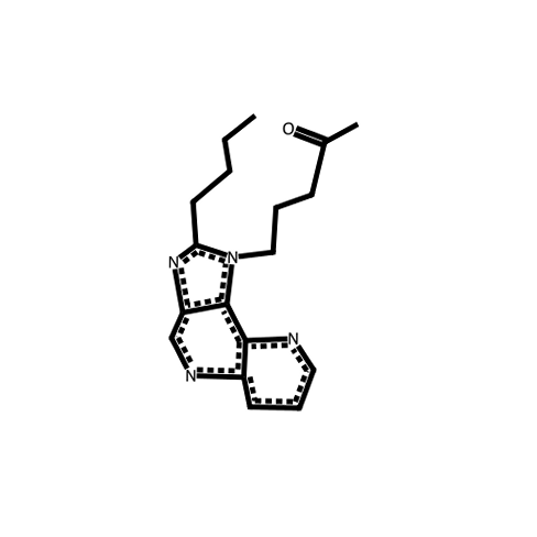 CCCCc1nc2cnc3cccnc3c2n1CCCC(C)=O